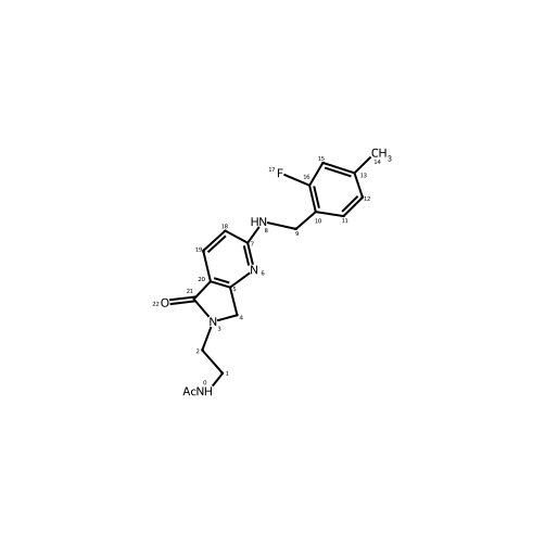 CC(=O)NCCN1Cc2nc(NCc3ccc(C)cc3F)ccc2C1=O